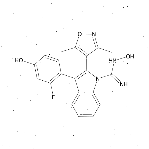 Cc1noc(C)c1-c1c(-c2ccc(O)cc2F)c2ccccc2n1C(=N)NO